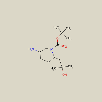 CC(C)(O)CC1CCC(N)CN1C(=O)OC(C)(C)C